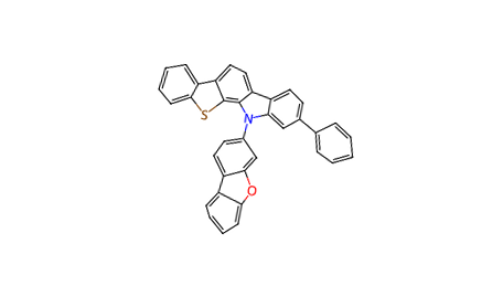 c1ccc(-c2ccc3c4ccc5c6ccccc6sc5c4n(-c4ccc5c(c4)oc4ccccc45)c3c2)cc1